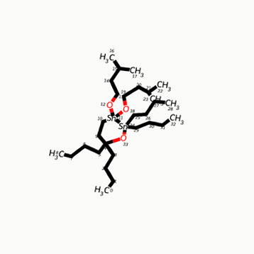 CCCCC1(CCCC)C[CH2][Sn]([O]CCC(C)C)([O]CCC(C)C)[Sn]([CH2]CCC)([CH2]CCC)[O]1